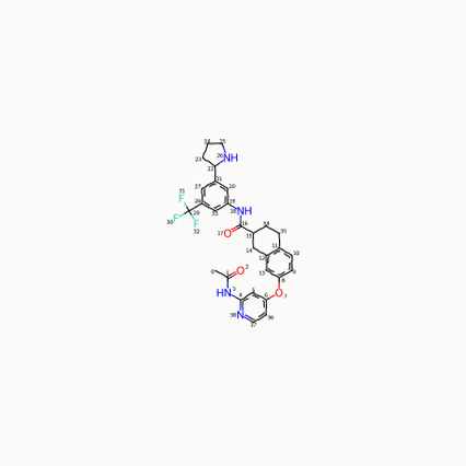 CC(=O)Nc1cc(Oc2ccc3c(c2)CC(C(=O)Nc2cc(C4CCCN4)cc(C(F)(F)F)c2)CC3)ccn1